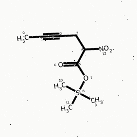 CC#CCC(C(=O)O[Si](C)(C)C)[N+](=O)[O-]